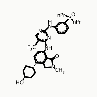 CCCP(=O)(CCC)c1cccc(Nc2ncc(C(F)(F)F)c(Nc3ccc([C@H]4CC[C@H](O)CC4)c4c3C(=O)N(C)C4)n2)c1